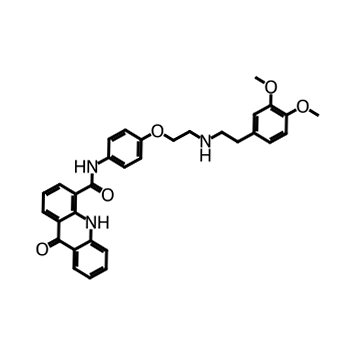 COc1ccc(CCNCCOc2ccc(NC(=O)c3cccc4c(=O)c5ccccc5[nH]c34)cc2)cc1OC